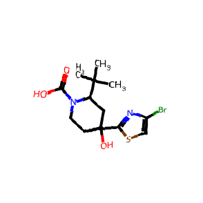 CC(C)(C)C1CC(O)(c2nc(Br)cs2)CCN1C(=O)O